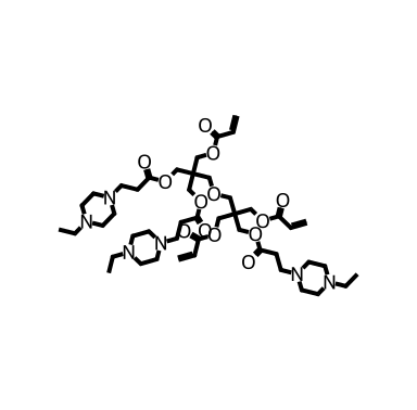 C=CC(=O)OCC(COCC(COC(=O)C=C)(COC(=O)CCN1CCN(CC)CC1)COC(=O)CCN1CCN(CC)CC1)(COC(=O)C=C)COC(=O)CCN1CCN(CC)CC1